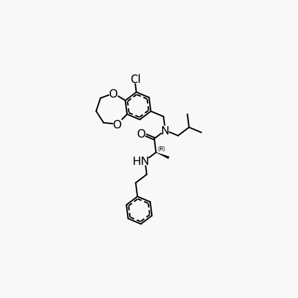 CC(C)CN(Cc1cc(Cl)c2c(c1)OCCCO2)C(=O)[C@@H](C)NCCc1ccccc1